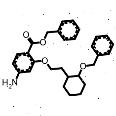 Nc1ccc(C(=O)OCc2ccccc2)c(OCCC2CCCCC2OCc2ccccc2)c1